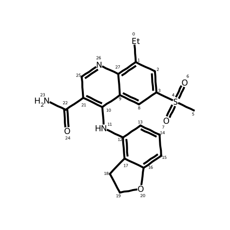 CCc1cc(S(C)(=O)=O)cc2c(Nc3cccc4c3CCO4)c(C(N)=O)cnc12